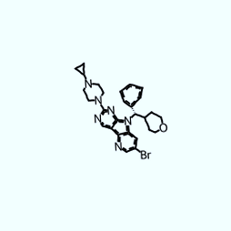 Brc1cnc2c3cnc(N4CCN(C5CC5)CC4)nc3n([C@H](c3ccccc3)C3CCOCC3)c2c1